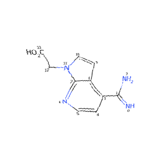 N=C(N)c1ccnc2c1ccn2CC(=O)O